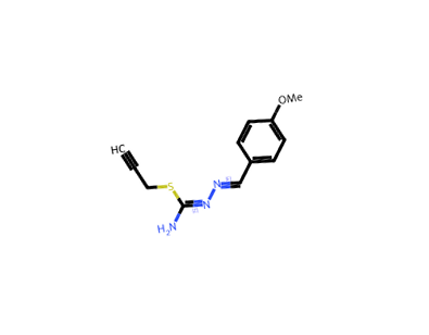 C#CCS/C(N)=N\N=C\c1ccc(OC)cc1